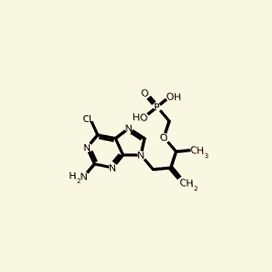 C=C(Cn1cnc2c(Cl)nc(N)nc21)C(C)OCP(=O)(O)O